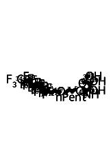 CCCCCN[C@H]1[C@H](OCCCCOCCCC(F)(F)C(F)(F)C(F)(F)C(F)(F)C(F)(F)C(F)(F)C(F)(F)C(F)(F)F)O[C@H](CO)[C@@H](O)[C@@H]1O